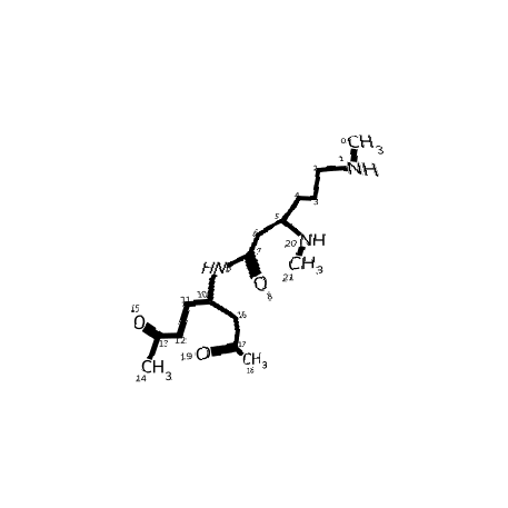 CNCCCC(CC(=O)NC(CCC(C)=O)CC(C)=O)NC